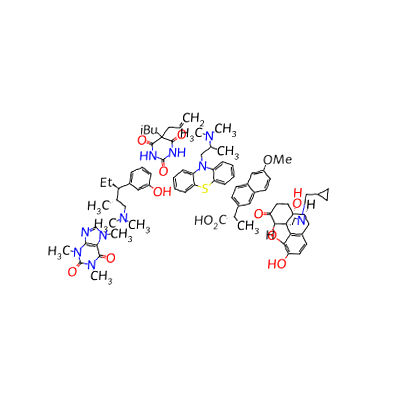 C=CCC1(C(C)CC)C(=O)NC(=O)NC1=O.CC(CN1c2ccccc2Sc2ccccc21)N(C)C.CC[C@@H](c1cccc(O)c1)[C@@H](C)CN(C)C.COc1ccc2cc([C@H](C)C(=O)O)ccc2c1.Cn1c(=O)c2c(ncn2C)n(C)c1=O.O=C1CC[C@@]2(O)[C@H]3Cc4ccc(O)c5c4[C@@]2(CCN3CC2CC2)[C@H]1O5